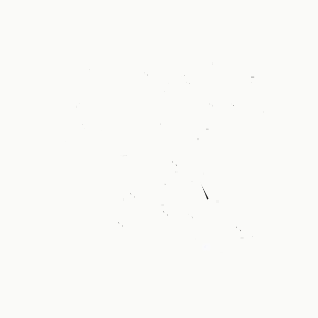 N#Cc1ccc(C2CC2)c(-c2cnc(C(=O)N(C3CC3)[C@@H]3C[C@@H](CN(N)/C=C\N)N(C#N)C3)o2)c1